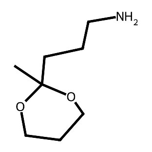 CC1(CCCN)OCCCO1